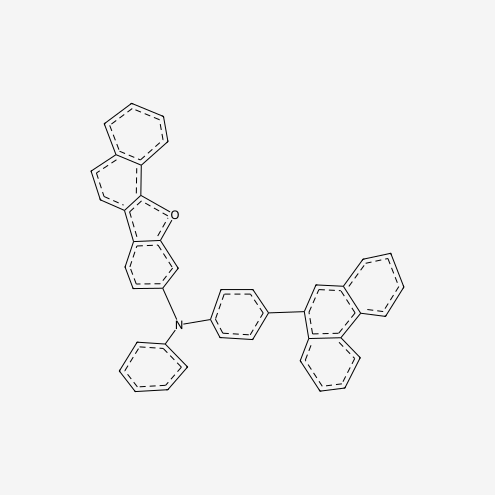 c1ccc(N(c2ccc(-c3cc4ccccc4c4ccccc34)cc2)c2ccc3c(c2)oc2c4ccccc4ccc32)cc1